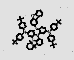 CC(C)(C)c1ccc(N(c2ccc(C(C)(C)C)cc2)c2ccc3c(c2)B2c4cccc5c4N(c4cc(N(c6ccc(C(C)(C)C)cc6)c6ccc(C(C)(C)C)cc6)cc(c42)N3c2ccc3oc4ccccc4c3c2)C2(C)CCCCC52C)cc1